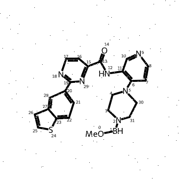 COBN1CCN(c2ccncc2NC(=O)c2ccnc(-c3ccc4sccc4c3)n2)CC1